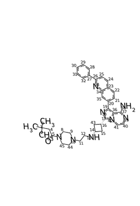 CC(C)(C)CC(=O)N1CCN(CCN[C@H]2C[C@@H](c3nc(-c4ccc5ccc(-c6ccccc6)nc5c4)c4c(N)nccn43)C2)CC1